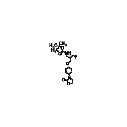 CC(C)(C)OC(=O)NC/C(=C/F)COc1ccc(N2CCOC2=O)cc1